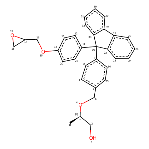 C[C@H](CO)OCc1ccc(C2(c3ccc(OCC4CO4)cc3)c3ccccc3-c3ccccc32)cc1